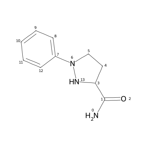 NC(=O)C1CCN(c2ccccc2)N1